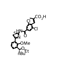 CCCC[C@H](OCC)c1cccc(-c2csc(NC(=O)c3cc(Cl)c(/C=C(\C)C(=O)O)c(Cl)c3)n2)c1OC